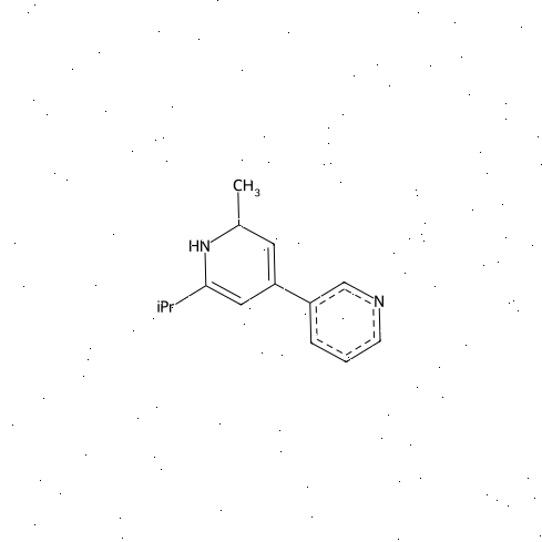 CC1C=C(c2cccnc2)C=C(C(C)C)N1